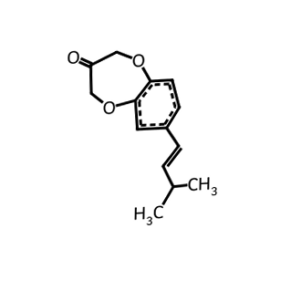 CC(C)C=Cc1ccc2c(c1)OCC(=O)CO2